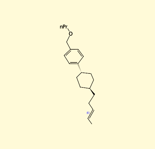 C/C=C/CC[C@H]1CC[C@H](c2ccc(COCCC)cc2)CC1